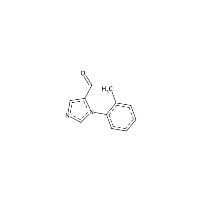 Cc1ccccc1-n1cncc1C=O